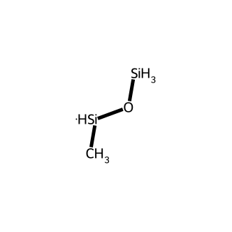 C[SiH]O[SiH3]